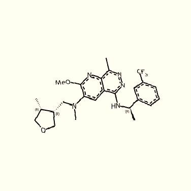 COc1nc2c(C)nnc(N[C@H](C)c3cccc(C(F)(F)F)c3)c2cc1N(C)C[C@@H]1COC[C@@H]1C